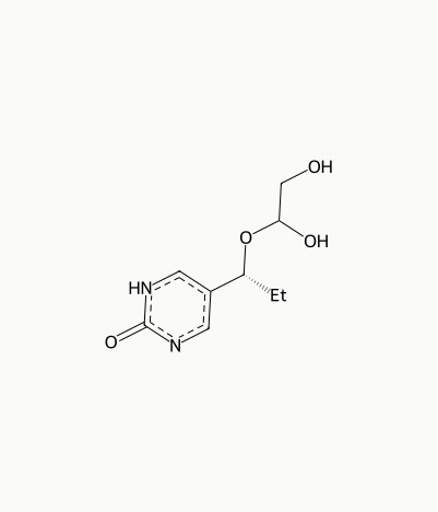 CC[C@@H](OC(O)CO)c1cnc(=O)[nH]c1